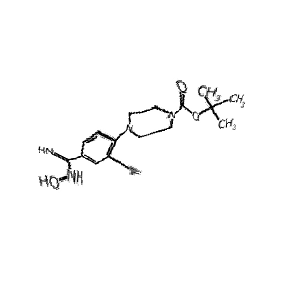 CC(C)(C)OC(=O)N1CCN(c2ccc(C(=N)NO)cc2F)CC1